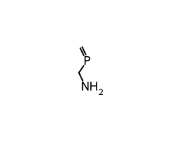 C=PCN